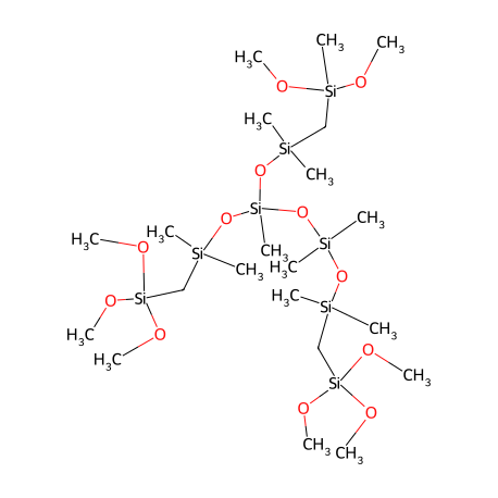 CO[Si](C)(C[Si](C)(C)O[Si](C)(O[Si](C)(C)C[Si](OC)(OC)OC)O[Si](C)(C)O[Si](C)(C)C[Si](OC)(OC)OC)OC